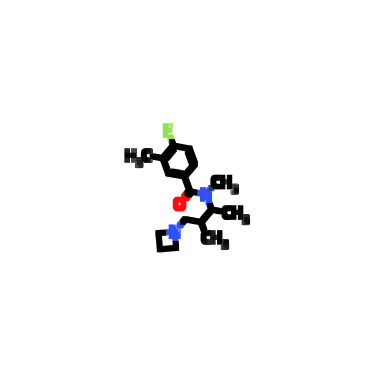 Cc1cc(C(=O)N(C)C(C)C(C)CN2CCC2)ccc1F